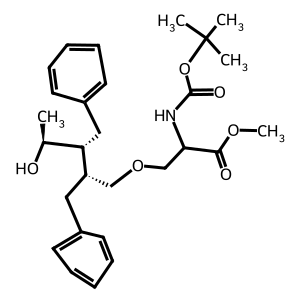 COC(=O)C(COC[C@H](Cc1ccccc1)[C@@H](Cc1ccccc1)[C@H](C)O)NC(=O)OC(C)(C)C